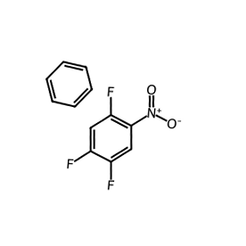 O=[N+]([O-])c1cc(F)c(F)cc1F.c1ccccc1